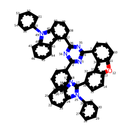 c1ccc(-c2nc(-c3cccc4oc5ccc(-c6nc7ccccc7n6-c6ccccc6)cc5c34)nc(-c3cccc4c3c3ccccc3n4-c3ccccc3)n2)cc1